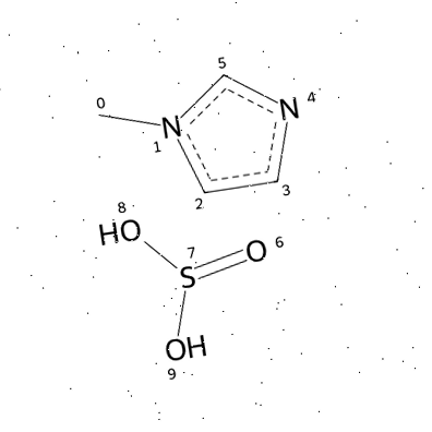 Cn1ccnc1.O=S(O)O